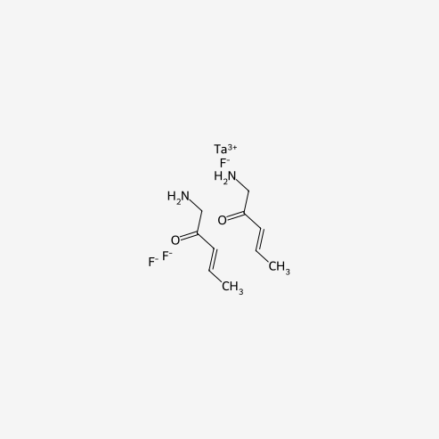 CC=CC(=O)CN.CC=CC(=O)CN.[F-].[F-].[F-].[Ta+3]